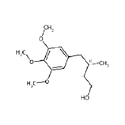 COc1cc(C[C@H](C)[CH]CO)cc(OC)c1OC